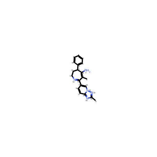 CC1=C(N)C(c2ccccc2)CCN=C1c1ccc2nc(C)nn2c1